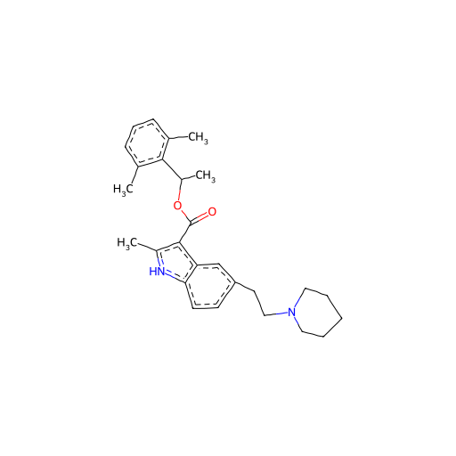 Cc1cccc(C)c1C(C)OC(=O)c1c(C)[nH]c2ccc(CCN3CCCCC3)cc12